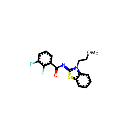 COCCn1/c(=N/C(=O)c2cccc(F)c2F)sc2ccccc21